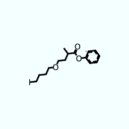 CC(CCOCCCCI)C(=O)Oc1[c]cccc1